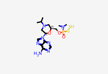 CC(C)N1C[C@@H](COP(=O)(SS)N(C)C)O[C@@H](n2cnc3c(N)ncnc32)C1